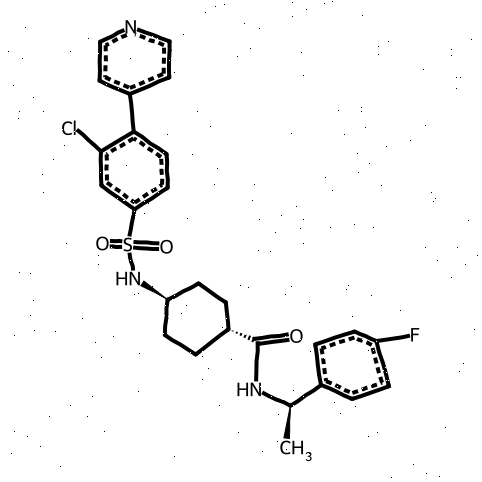 C[C@@H](NC(=O)[C@H]1CC[C@H](NS(=O)(=O)c2ccc(-c3ccncc3)c(Cl)c2)CC1)c1ccc(F)cc1